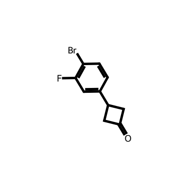 O=C1CC(c2ccc(Br)c(F)c2)C1